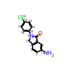 Nc1ccc2c(c1)C(=O)N(c1ccc(Cl)cc1)C2